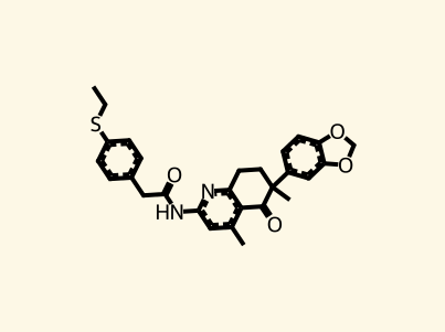 CCSc1ccc(CC(=O)Nc2cc(C)c3c(n2)CCC(C)(c2ccc4c(c2)OCO4)C3=O)cc1